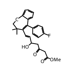 COC(=O)CC(=O)CC(O)/C=C/C1=C(c2ccc(F)cc2)c2ccccc2CCC1(C)C